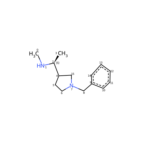 CN[C@@H](C)C1CCN(Cc2ccccc2)C1